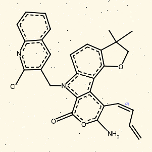 C=C/C=C\c1c(N)oc(=O)c2c1c1c3c(ccc1n2Cc1cc2ccccc2nc1Cl)C(C)(C)CO3